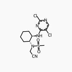 CS(=O)(=O)N(CC#N)[C@@H]1CCCC[C@H]1Nc1nc(Cl)ncc1Cl